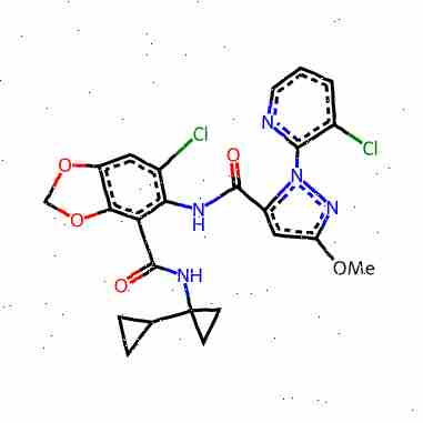 COc1cc(C(=O)Nc2c(Cl)cc3c(c2C(=O)NC2(C4CC4)CC2)OCO3)n(-c2ncccc2Cl)n1